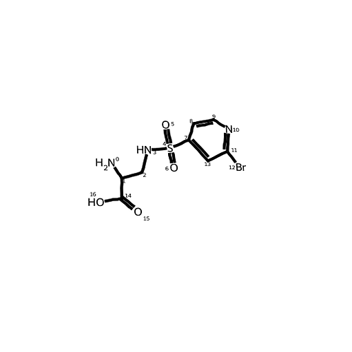 NC(CNS(=O)(=O)c1ccnc(Br)c1)C(=O)O